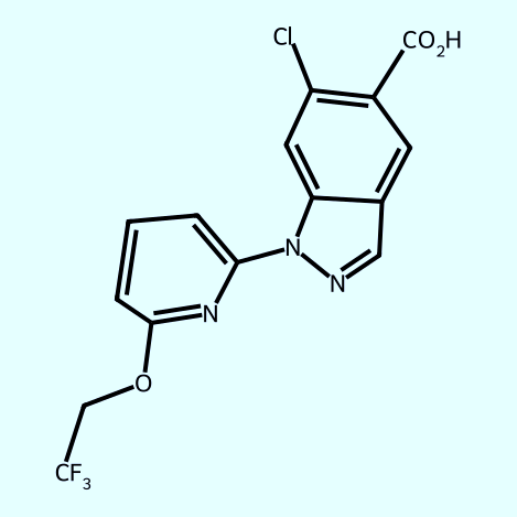 O=C(O)c1cc2cnn(-c3cccc(OCC(F)(F)F)n3)c2cc1Cl